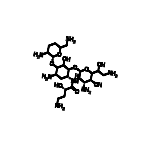 NCC[C@H](O)C(=O)N[C@@H]1CC(N)C(O[C@H]2OC(CN)CCC2N)C(O)[C@H]1O[C@H]1OC(C(O)CN)[C@@H](O)[C@H](N)C1O